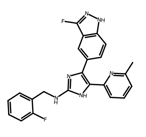 Cc1cccc(-c2[nH]c(NCc3ccccc3F)nc2-c2ccc3[nH]nc(F)c3c2)n1